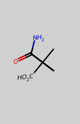 CC(C)(C(N)=O)C(=O)O